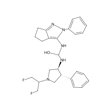 OC(Nc1c2c(nn1-c1ccccc1)CCC2)N[C@@H]1CN(C(CF)CF)C[C@H]1c1ccccc1